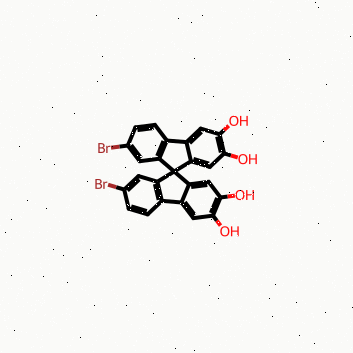 Oc1cc2c(cc1O)C1(c3cc(Br)ccc3-2)c2cc(Br)ccc2-c2cc(O)c(O)cc21